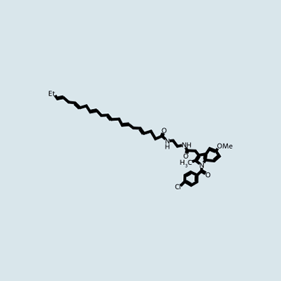 CCC=CCC=CCC=CCC=CCC=CCC=CCCC(=O)NCCNC(=O)Cc1c(C)n(C(=O)c2ccc(Cl)cc2)c2ccc(OC)cc12